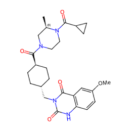 COc1ccc2[nH]c(=O)n(C[C@H]3CC[C@H](C(=O)N4CCN(C(=O)C5CC5)[C@H](C)C4)CC3)c(=O)c2c1